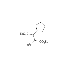 CCCC(C(=O)OCC)C(C(=O)OCC)C1CCCC1